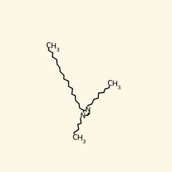 CCCCCCCCCCCCCCCCCCC1N(CCCCCC)C=CN1CCCCCCCCC